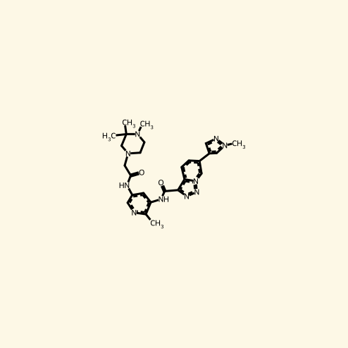 Cc1ncc(NC(=O)CN2CCN(C)C(C)(C)C2)cc1NC(=O)c1nnn2cc(-c3cnn(C)c3)ccc12